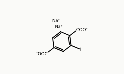 O=C([O-])c1ccc(C(=O)[O-])c(I)c1.[Na+].[Na+]